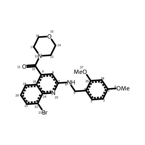 COc1ccc(CNc2cc(C(=O)N3CCOCC3)c3cccc(Br)c3n2)c(OC)c1